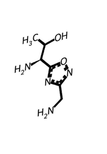 CC(O)[C@H](N)c1nc(CN)no1